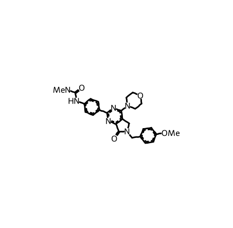 CNC(=O)Nc1ccc(-c2nc3c(c(N4CCOCC4)n2)CN(Cc2ccc(OC)cc2)C3=O)cc1